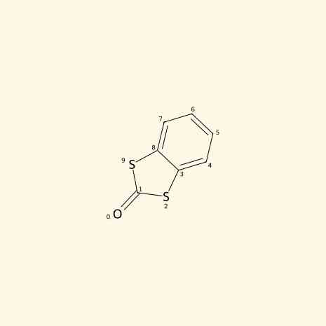 O=c1sc2ccccc2s1